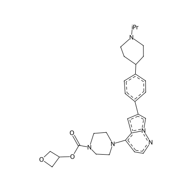 CC(C)N1CCC(c2ccc(-c3cc4c(N5CCN(C(=O)OC6COC6)CC5)ccnn4c3)cc2)CC1